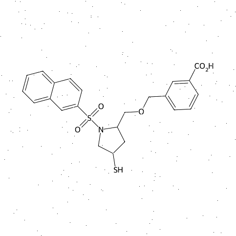 O=C(O)c1cccc(COCC2CC(S)CN2S(=O)(=O)c2ccc3ccccc3c2)c1